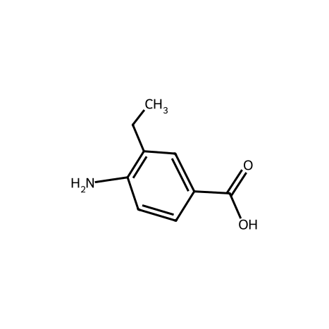 CCc1cc(C(=O)O)ccc1N